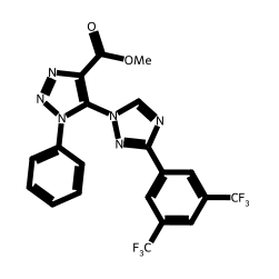 COC(=O)c1nnn(-c2ccccc2)c1-n1cnc(-c2cc(C(F)(F)F)cc(C(F)(F)F)c2)n1